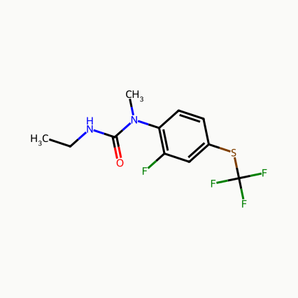 CCNC(=O)N(C)c1ccc(SC(F)(F)F)cc1F